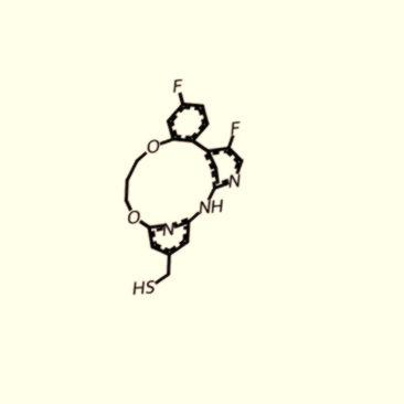 Fc1ccc2c(c1)OCCCOc1cc(CS)cc(n1)Nc1cc-2c(F)cn1